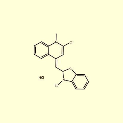 CCN1c2ccccc2SC1C=C1C=C(Cl)N(C)c2ccccc21.Cl